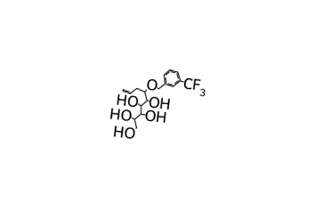 C=CCC(OCc1cccc(C(F)(F)F)c1)C(O)C(O)C(O)C(O)CO